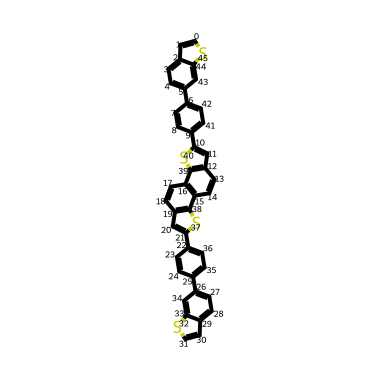 c1cc2ccc(-c3ccc(-c4cc5ccc6c(ccc7cc(-c8ccc(-c9ccc%10ccsc%10c9)cc8)sc76)c5s4)cc3)cc2s1